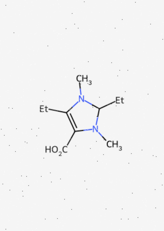 CCC1=C(C(=O)O)N(C)C(CC)N1C